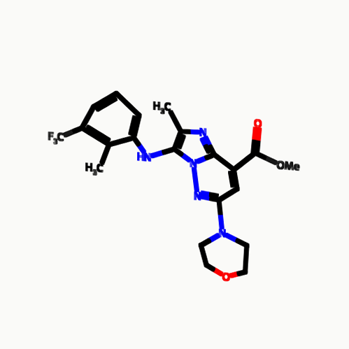 COC(=O)c1cc(N2CCOCC2)nn2c(Nc3cccc(C(F)(F)F)c3C)c(C)nc12